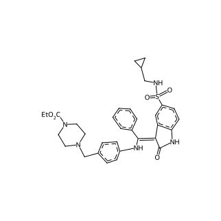 CCOC(=O)N1CCN(Cc2ccc(N/C(=C3\C(=O)Nc4ccc(S(=O)(=O)NCC5CC5)cc43)c3ccccc3)cc2)CC1